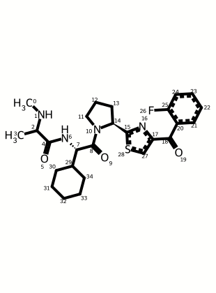 CNC(C)C(=O)N[C@H](C(=O)N1CCC[C@H]1c1nc(C(=O)c2ccccc2F)cs1)C1CCCCC1